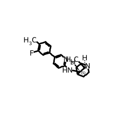 Cc1ccc(-c2ccc(N[C@H]3C4CCN(CC4)[C@@H]3C)nc2)cc1F